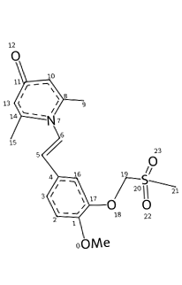 COc1ccc(C=Cn2c(C)cc(=O)cc2C)cc1OCS(C)(=O)=O